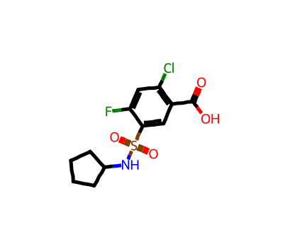 O=C(O)c1cc(S(=O)(=O)NC2CCCC2)c(F)cc1Cl